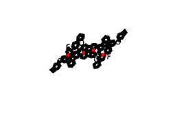 Fc1ccc(C2(c3ccc(Oc4ccc5c(c4)CC5)cc3)c3ccccc3-c3ccc(N(c4ccc5c(c4)C4(c6ccccc6-5)c5cc(N(c6ccc7c(c6)C(c6ccc(F)cc6)(c6ccc(Oc8ccc9c(c8)CC9)cc6)c6ccccc6-7)c6cccc7c6oc6ccccc67)ccc5C5C=CC=CC54)c4cccc5c6c(oc45)CCC=C6)cc32)cc1